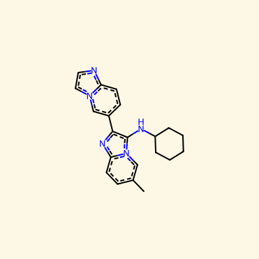 Cc1ccc2nc(-c3ccc4nccn4c3)c(NC3CCCCC3)n2c1